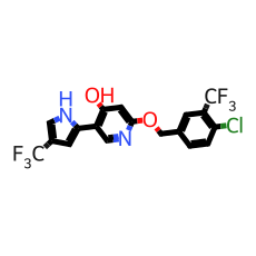 Oc1cc(OCc2ccc(Cl)c(C(F)(F)F)c2)ncc1-c1cc(C(F)(F)F)c[nH]1